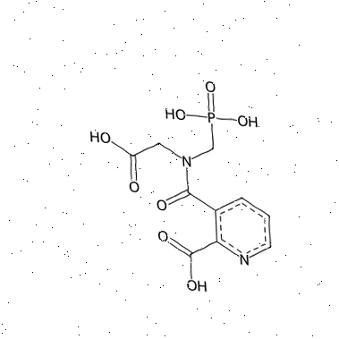 O=C(O)CN(CP(=O)(O)O)C(=O)c1cccnc1C(=O)O